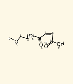 COCCNC(=O)/C=C\C(=O)O